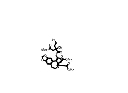 COC(=O)CC(C)(CCC(C)C)C(=O)OC1=C2c3cc4c(cc3CCN3CC(C(=O)OC)=C(C(=O)OC)C23CC1)OCO4